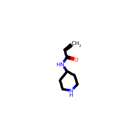 C=CC(=O)NC1CCNCC1